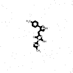 Cc1ccc(-c2n[nH]cc2/C=C2\SC(=N)N(c3nc(C)cs3)C2=O)cc1